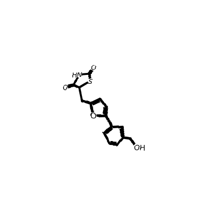 O=C1NC(=O)C(Cc2ccc(-c3cccc(CO)c3)o2)S1